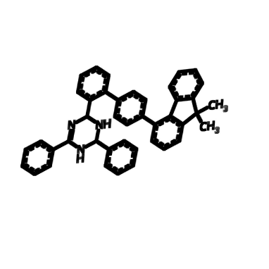 CC1(C)c2ccccc2-c2c(-c3ccc(-c4ccccc4C4N=C(c5ccccc5)NC(c5ccccc5)N4)cc3)cccc21